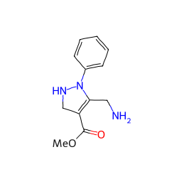 COC(=O)C1=C(CN)N(c2ccccc2)NC1